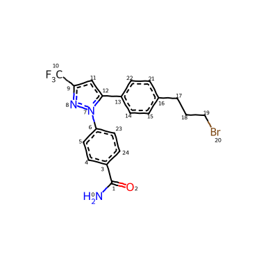 NC(=O)c1ccc(-n2nc(C(F)(F)F)cc2-c2ccc(CCCBr)cc2)cc1